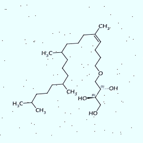 CC(=CCCCOC[C@H](O)[C@H](O)CO)CCCC(C)CCCC(C)CCCC(C)C